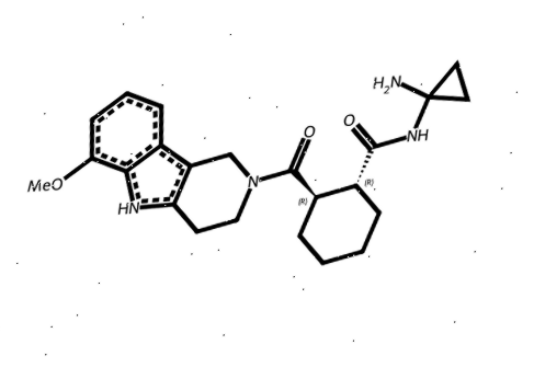 COc1cccc2c3c([nH]c12)CCN(C(=O)[C@@H]1CCCC[C@H]1C(=O)NC1(N)CC1)C3